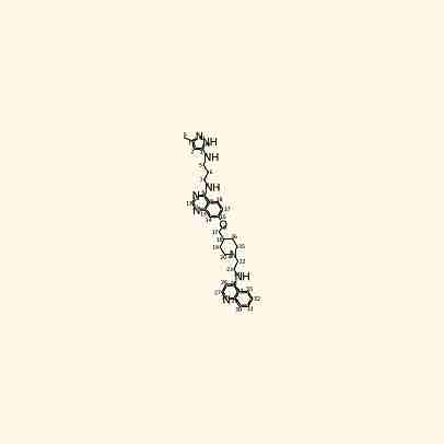 Cc1cc(NCCCNc2ncnc3cc(OCC4CCN(CCNc5ccnc6ccccc56)CC4)ccc23)[nH]n1